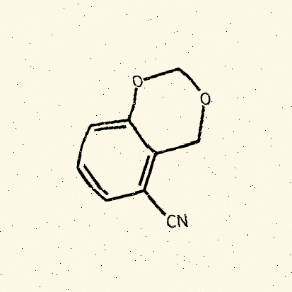 N#Cc1cccc2c1COCO2